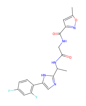 Cc1cc(C(=O)NCC(=O)NC(C)c2ncc(-c3ccc(F)cc3F)[nH]2)no1